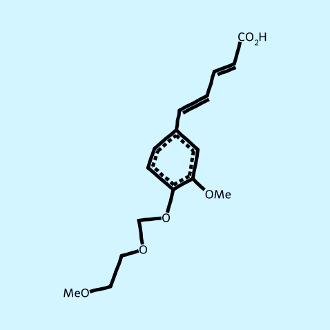 COCCOCOc1ccc(C=CC=CC(=O)O)cc1OC